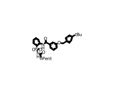 CCCCCC(=O)NS(=O)(=O)c1ccccc1NC(=O)c1cccc(OCc2ccc(C(C)(C)C)cc2)c1